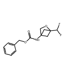 O=C(NC12COC(C(F)F)(C1)C2)OCc1ccccc1